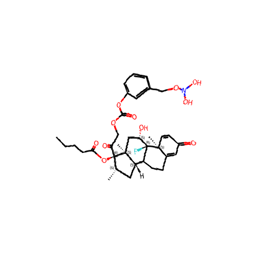 CCCCC(=O)O[C@]1(C(=O)COC(=O)Oc2cccc(CON(O)O)c2)[C@@H](C)C[C@H]2C3CCC4=CC(=O)C=C[C@]4(C)[C@@]3(F)[C@@H](O)C[C@@]21C